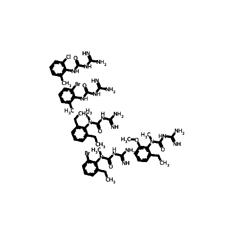 CCc1cccc(Br)c1N(C)C(=O)NC(=N)N.CCc1cccc(CC)c1N(C)C(=O)NC(=N)N.CCc1cccc(OC)c1N(C)C(=O)NC(=N)N.Cc1cccc(Br)c1NC(=O)NC(=N)N.Cc1cccc(Cl)c1NC(=O)NC(=N)N